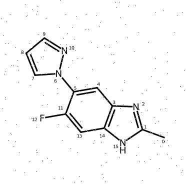 Cc1nc2cc(-n3cccn3)c(F)cc2[nH]1